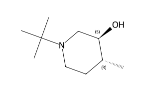 C[C@@H]1CCN(C(C)(C)C)C[C@H]1O